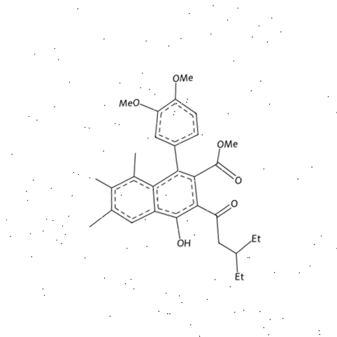 CCC(CC)CC(=O)c1c(C(=O)OC)c(-c2ccc(OC)c(OC)c2)c2c(C)c(C)c(C)cc2c1O